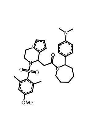 COc1cc(C)c(S(=O)(=O)N2CCn3cccc3C2CC(=O)N2CCCCCC2c2ccc(N(C)C)cc2)c(C)c1